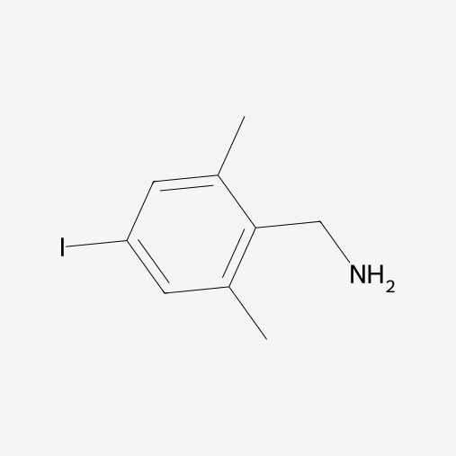 Cc1cc(I)cc(C)c1CN